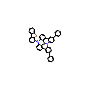 c1ccc(-c2ccc3c(c2)-c2cccc4c2B2c5c(cccc5N4c4cccc5c4sc4ccccc45)-c4cc(-c5ccccc5)ccc4N23)cc1